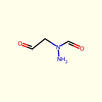 NN(C=O)C[C]=O